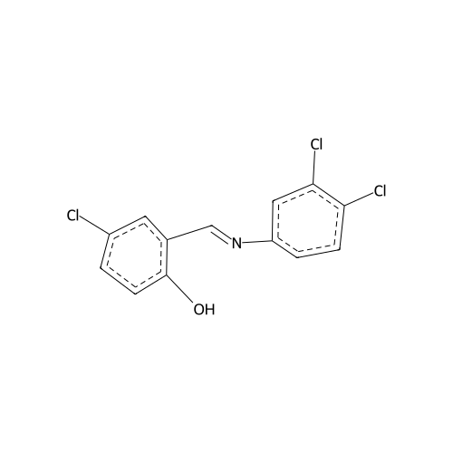 Oc1ccc(Cl)cc1/C=N/c1ccc(Cl)c(Cl)c1